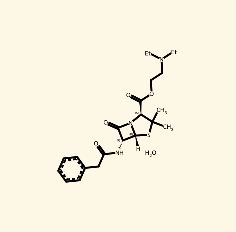 CCN(CC)CCOC(=O)[C@@H]1N2C(=O)[C@@H](NC(=O)Cc3ccccc3)[C@H]2SC1(C)C.O